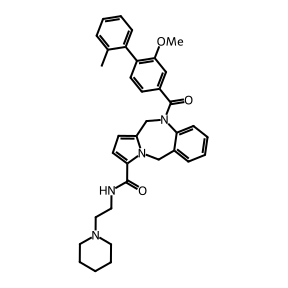 COc1cc(C(=O)N2Cc3ccc(C(=O)NCCN4CCCCC4)n3Cc3ccccc32)ccc1-c1ccccc1C